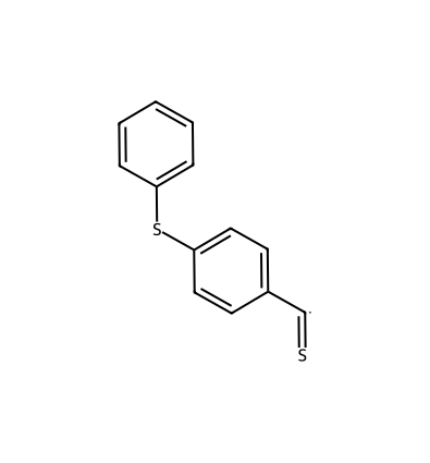 S=[C]c1ccc(Sc2ccccc2)cc1